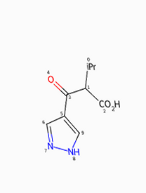 CC(C)C(C(=O)O)C(=O)c1cn[nH]c1